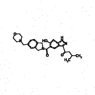 CC(C)CC(=O)c1n[nH]c2cc(O)c(C(=O)N3Cc4ccc(CN5CCOCC5)cc4C3)cc12